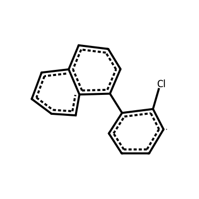 Clc1[c]cccc1-c1cccc2ccccc12